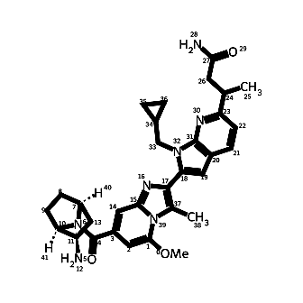 COc1cc(C(=O)N2[C@H]3CC[C@@H]2[C@H](N)C3)cc2nc(-c3cc4ccc(C(C)CC(N)=O)nc4n3CC3CC3)c(C)n12